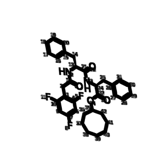 O=C(Cc1c(F)cc(F)cc1F)N[C@@H](Cc1ccccc1)C(=O)N[C@@H](Cc1ccccc1)C(=O)OC1CCCCCCC1